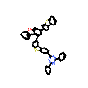 c1ccc(-c2nc(-c3ccccc3)nc(-c3ccc4c(c3)sc3ccc(-c5cc(-c6ccc7c(c6)sc6ccccc67)cc6oc7ccccc7c56)cc34)n2)cc1